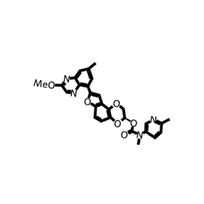 COc1cnc2c(-c3cc4c5c(ccc4o3)O[C@H](OC(=O)N(C)c3ccc(C)nc3)CO5)cc(C)cc2n1